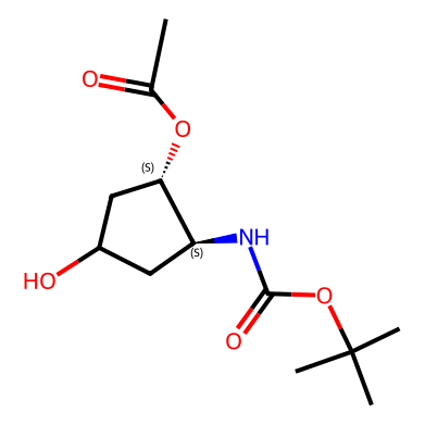 CC(=O)O[C@H]1CC(O)C[C@@H]1NC(=O)OC(C)(C)C